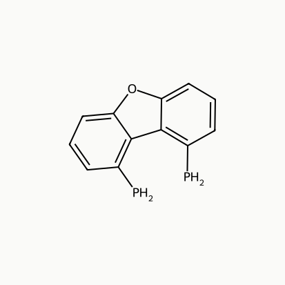 Pc1cccc2oc3cccc(P)c3c12